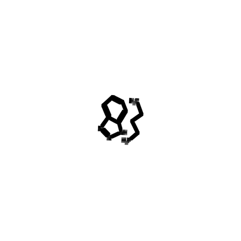 CCCCP.c1ccc2[nH]nnc2c1